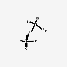 CC[P+](CC)(CC)CC.O=S(=O)([O-])[O-].[H+]